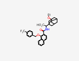 CCOC12CC3CC(C1)CC(C(NC(=O)c1ccc4ccccc4c1OCc1ccc(C(F)(F)F)cc1)C(=O)O)(C3)C2